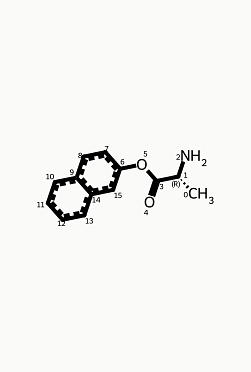 C[C@@H](N)C(=O)Oc1ccc2ccccc2c1